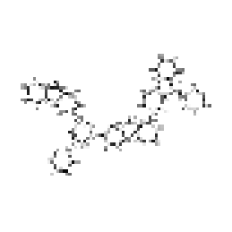 c1ccc(-c2nc(-c3ccc4c(c3)sc3c(-c5ccc6c7ccccc7n(-c7ccccc7)c6c5)cccc34)nc(-c3ccc4sc5ccccc5c4c3)n2)cc1